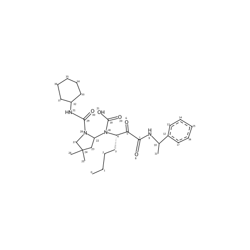 CCCC[C@@H](C(=O)C(=O)NC(C)c1ccccc1)N(C(=O)O)C1CC(C)(C)CN1C(=O)NC1CCCCC1